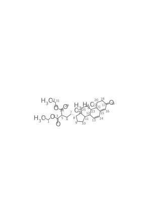 CCOC(=O)C(CC[C@H]1CCC2C3C=CC4=CC(=O)CC[C@]4(C)C3CC[C@@]21C)C(=O)OCC